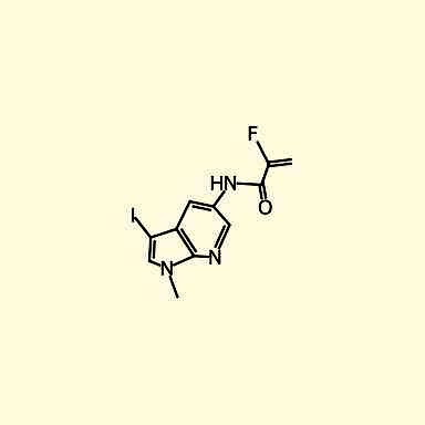 C=C(F)C(=O)Nc1cnc2c(c1)c(I)cn2C